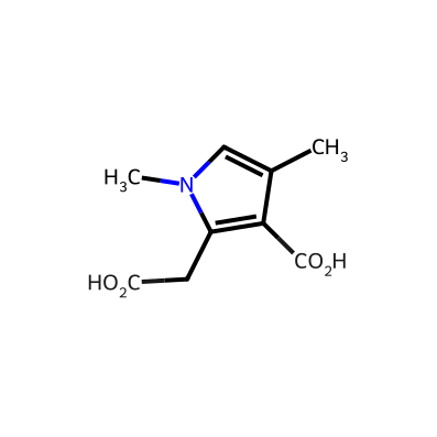 Cc1cn(C)c(CC(=O)O)c1C(=O)O